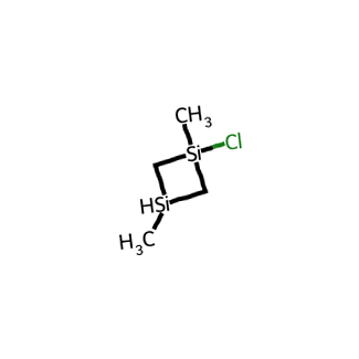 C[SiH]1C[Si](C)(Cl)C1